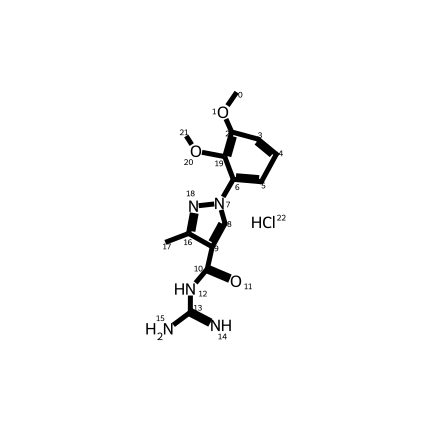 COc1cccc(-n2cc(C(=O)NC(=N)N)c(C)n2)c1OC.Cl